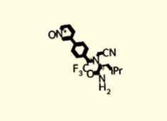 CC(C)C[C@@H](C(N)=O)N(CC#N)[C@@H](c1ccc(-c2ccc[n+]([O-])c2)cc1)C(F)(F)F